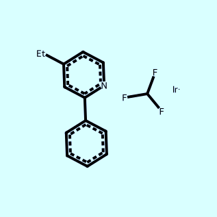 CCc1ccnc(-c2ccccc2)c1.FC(F)F.[Ir]